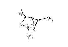 CC1O[PH]2(C)OC(C)C1O2